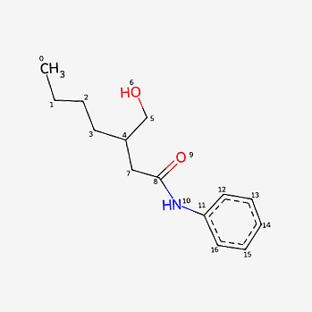 CCCCC(CO)CC(=O)Nc1ccccc1